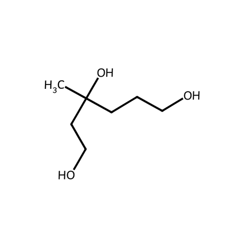 CC(O)(CCO)CCCO